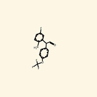 Nc1ccc(F)cc1C(C=O)c1ccc(OC(F)(F)F)cc1